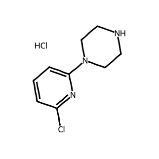 Cl.Clc1cccc(N2CCNCC2)n1